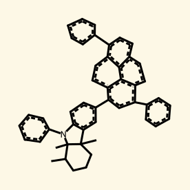 CC1CCCC2(C)c3cc(-c4cc(-c5ccccc5)c5ccc6ccc(-c7ccccc7)c7ccc4c5c67)ccc3N(c3ccccc3)C12C